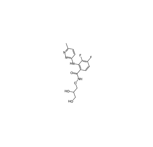 Cc1ccc(Nc2c(C(=O)NOCC(O)CO)ccc(F)c2F)nn1